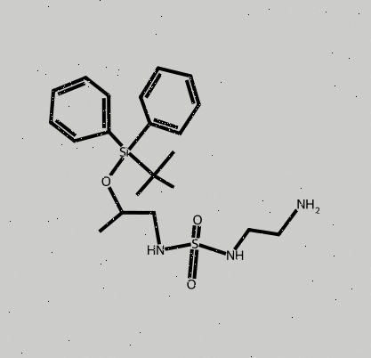 CC(CNS(=O)(=O)NCCN)O[Si](c1ccccc1)(c1ccccc1)C(C)(C)C